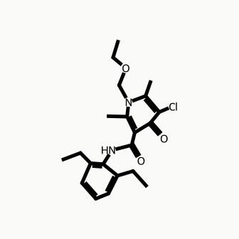 CCOCn1c(C)c(Cl)c(=O)c(C(=O)Nc2c(CC)cccc2CC)c1C